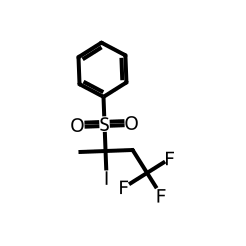 CC(I)(CC(F)(F)F)S(=O)(=O)c1ccccc1